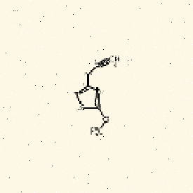 C#C[CH]c1csc(OC(F)(F)F)n1